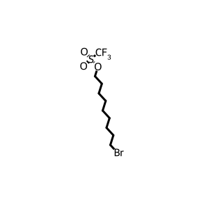 O=S(=O)(OCCCCCCCCCBr)C(F)(F)F